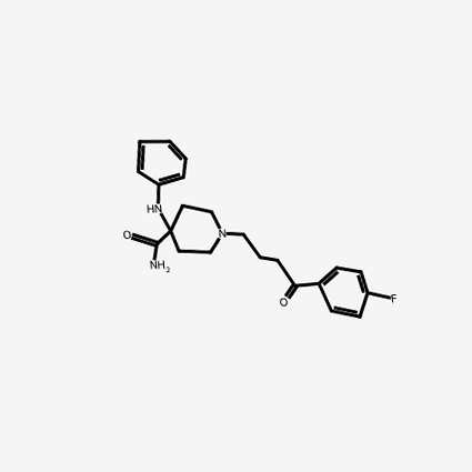 NC(=O)C1(Nc2ccccc2)CCN(CCCC(=O)c2ccc(F)cc2)CC1